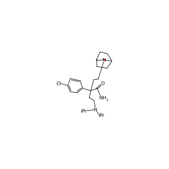 CC(C)N(CCC(CCN1CC2CCC(CC2)C1)(C(N)=O)c1ccc(Cl)cc1)C(C)C